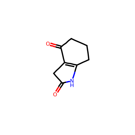 O=C1CC2=C(CCCC2=O)N1